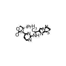 CC(C)[C@H]1COC(=O)N1c1ccnc(N[C@@H](C)c2cn3ncsc3n2)n1